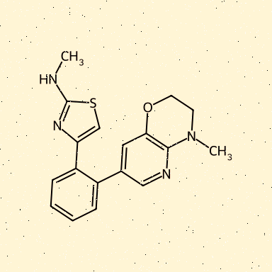 CNc1nc(-c2ccccc2-c2cnc3c(c2)OCCN3C)cs1